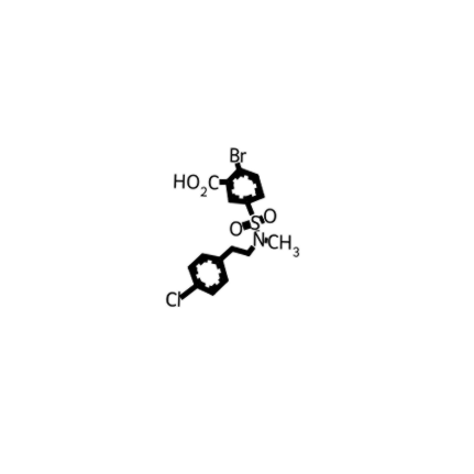 CN(CCc1ccc(Cl)cc1)S(=O)(=O)c1ccc(Br)c(C(=O)O)c1